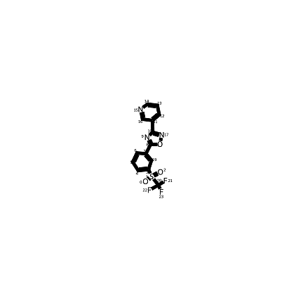 O=S(=O)(c1cccc(-c2nc(-c3cccnc3)no2)c1)C(F)(F)F